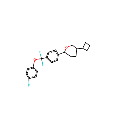 Fc1ccc(OC(F)(F)c2ccc(C3CCC(C4CCC4)CO3)cc2)cc1